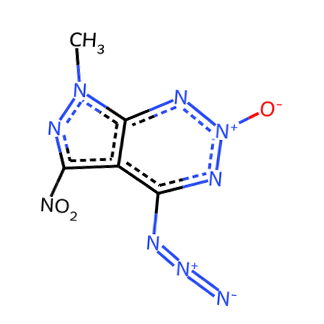 Cn1nc([N+](=O)[O-])c2c(N=[N+]=[N-])n[n+]([O-])nc21